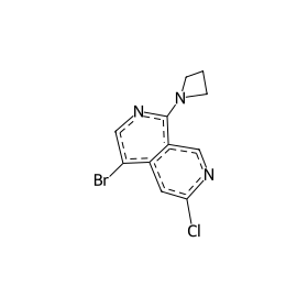 Clc1cc2c(Br)cnc(N3CCC3)c2cn1